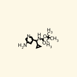 CC(C)(C)OC(=O)N[C@H](c1cncc(N)c1)C1CC1